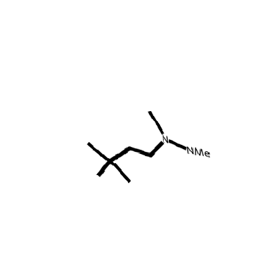 CNN(C)CCC(C)(C)C